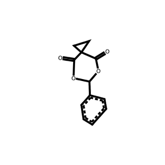 O=C1OC(c2ccccc2)OC(=O)C12CC2